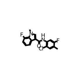 Cc1cc(Cl)c(NC(=O)c2cn(C)c3c(F)cccc23)cc1F